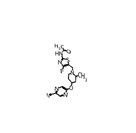 CC(=O)Nc1nc(F)c(CN2CCC(Oc3cnc(C#N)cn3)CC2C)s1